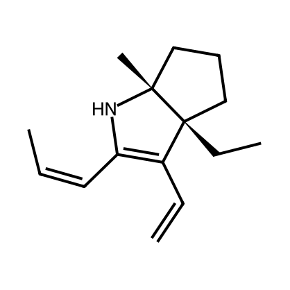 C=CC1=C(/C=C\C)N[C@]2(C)CCC[C@]12CC